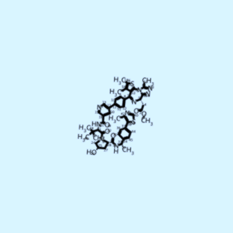 COC(=O)C[C@@H]1N=C(c2ccc(-c3cncc(C(=O)N[C@H](C(=O)N4C[C@H](O)C[C@H]4C(=O)N[C@@H](C)c4ccc(-c5scnc5C)cc4)C(C)(C)C)c3)cc2)c2c(sc(C)c2C)-n2c(C)nnc21